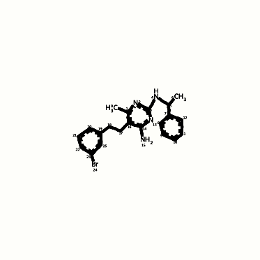 Cc1nc(NC(C)c2ccccc2)nc(N)c1CCc1cccc(Br)c1